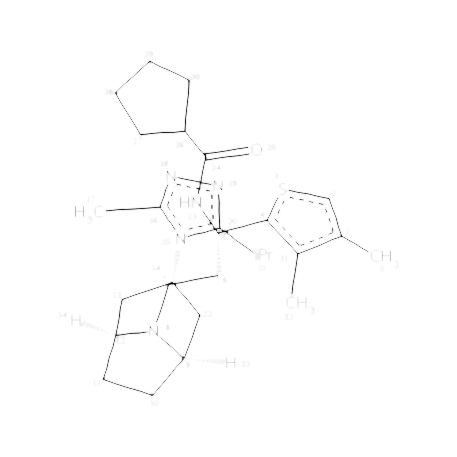 Cc1csc([C@H](CCN2[C@@H]3CC[C@H]2C[C@H](n2c(C)nnc2C(C)C)C3)NC(=O)C2CCCC2)c1C